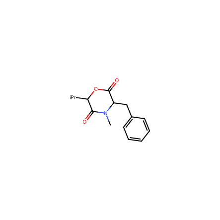 CC(C)C1OC(=O)C(Cc2ccccc2)N(C)C1=O